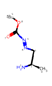 C[C@@H](N)CN=NC(=O)OC(C)(C)C